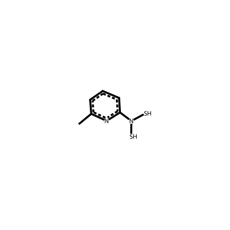 Cc1cccc(N(S)S)n1